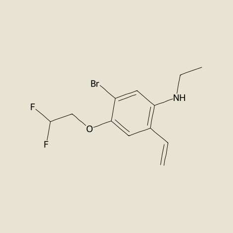 C=Cc1cc(OCC(F)F)c(Br)cc1NCC